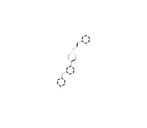 Fc1ccc(Cc2cccc(C3=CCN(CC=Cc4ccccc4)CC3)c2)cc1